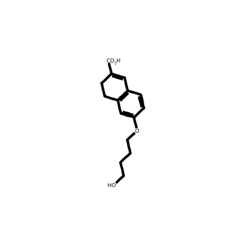 O=C(O)C1=Cc2ccc(OCCCCO)cc2CC1